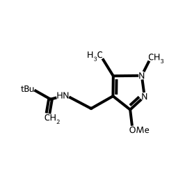 C=C(NCc1c(OC)nn(C)c1C)C(C)(C)C